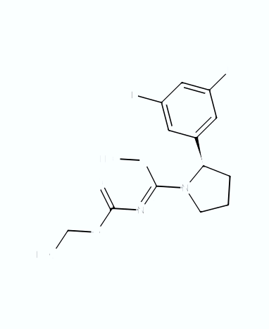 CCOC(=O)/N=C(\SC)N1CCC[C@@H]1c1cc(F)cc(F)c1